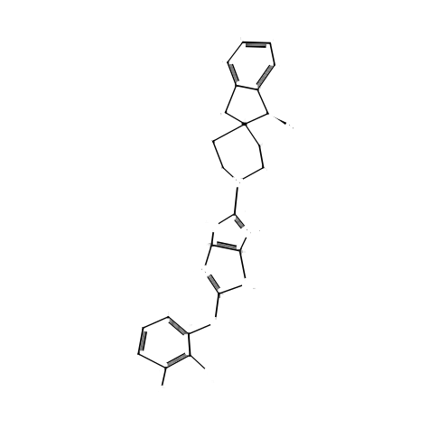 N[C@@H]1c2ccccc2CC12CCN(c1nc3sc(Sc4cccc(Cl)c4Cl)nc3s1)CC2